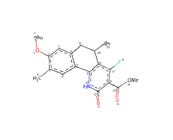 CCCCOc1cc2c(cc1C)-c1[nH]c(=O)c(C(=O)OC)c(F)c1C(C(C)C)C2